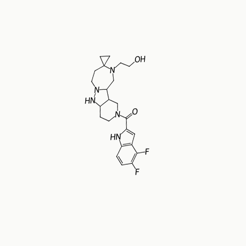 O=C(c1cc2c(F)c(F)ccc2[nH]1)N1CCC2NN3CCC4(CC4)N(CCO)CC3C2C1